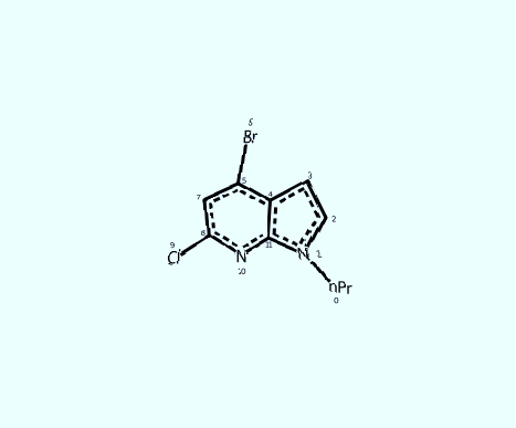 CCCn1ccc2c(Br)cc(Cl)nc21